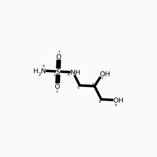 NS(=O)(=O)NCC(O)CO